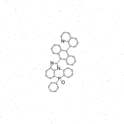 O=P1(c2ccccc2)c2ccccc2-n2c(-c3c4ccccc4c(-c4cccc5cccnc45)c4ccccc34)nc3cccc1c32